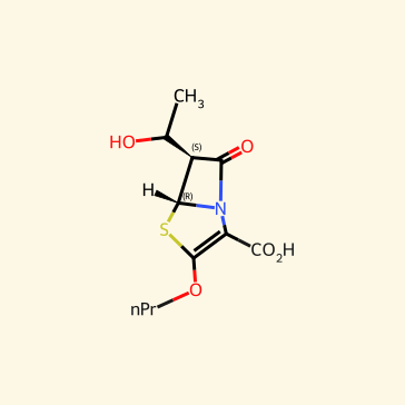 CCCOC1=C(C(=O)O)N2C(=O)[C@H](C(C)O)[C@H]2S1